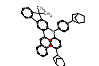 CC1(C)c2ccccc2-c2cc(-c3ccc4ccccc4c3)c(N(c3ccc(C4CC5CCC4C5)cc3)c3ccc(C4CC5CCC4C5)cc3)cc21